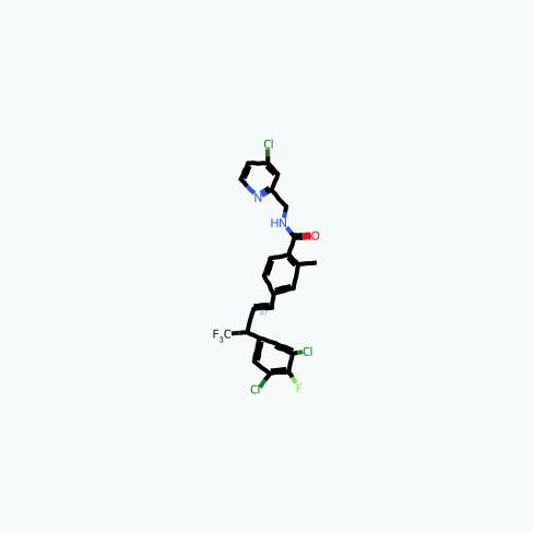 Cc1cc(/C=C/C(c2cc(Cl)c(F)c(Cl)c2)C(F)(F)F)ccc1C(=O)NCc1cc(Cl)ccn1